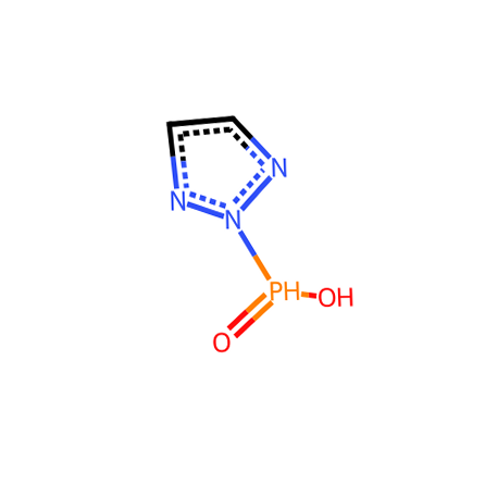 O=[PH](O)n1nccn1